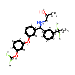 OC(CNC(c1cccc(Oc2cccc(OC(F)F)c2)c1)c1cccc(C(F)(F)C(F)(F)F)c1)C(F)(F)F